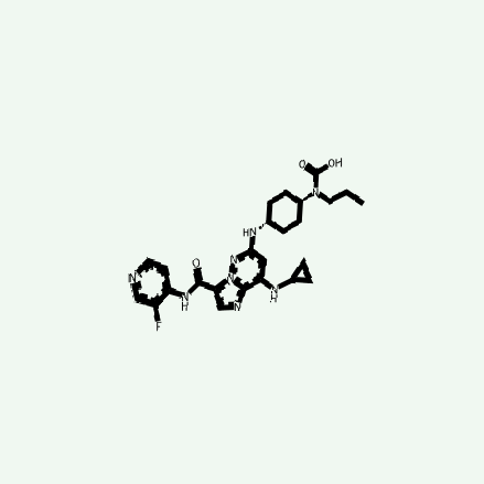 CCCN(C(=O)O)[C@H]1CC[C@H](Nc2cc(NC3CC3)c3ncc(C(=O)Nc4ccncc4F)n3n2)CC1